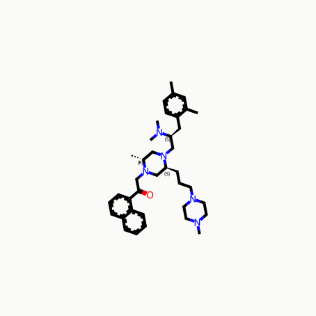 Cc1ccc(C[C@@H](CN2C[C@@H](C)N(CC(=O)c3cccc4ccccc34)C[C@@H]2CCCN2CCN(C)CC2)N(C)C)c(C)c1